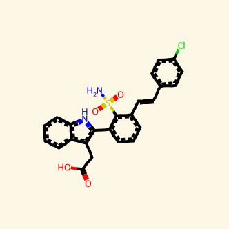 NS(=O)(=O)c1c(C=Cc2ccc(Cl)cc2)cccc1-c1[nH]c2ccccc2c1CC(=O)O